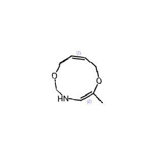 C/C1=C/NCOC/C=C\CO1